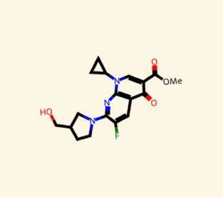 COC(=O)c1cn(C2CC2)c2nc(N3CCC(CO)C3)c(F)cc2c1=O